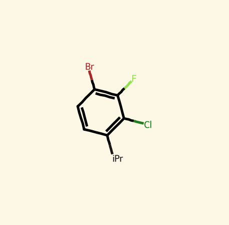 CC(C)c1ccc(Br)c(F)c1Cl